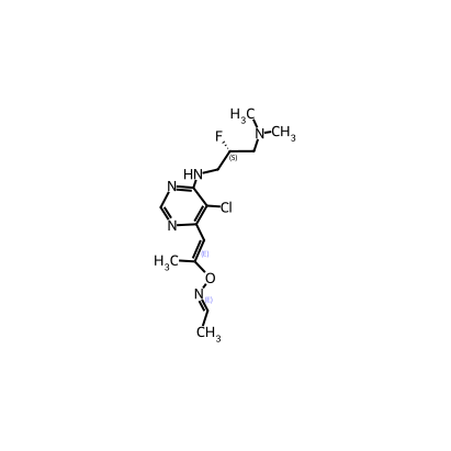 C/C=N/O/C(C)=C/c1ncnc(NC[C@H](F)CN(C)C)c1Cl